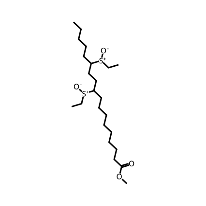 CCCCCC(CCC(CCCCCCCCC(=O)OC)[S+]([O-])CC)[S+]([O-])CC